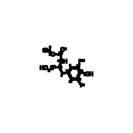 CC(C)(C)OC(=O)NC(Cc1cc(F)c(O)c(I)c1)C(=O)O